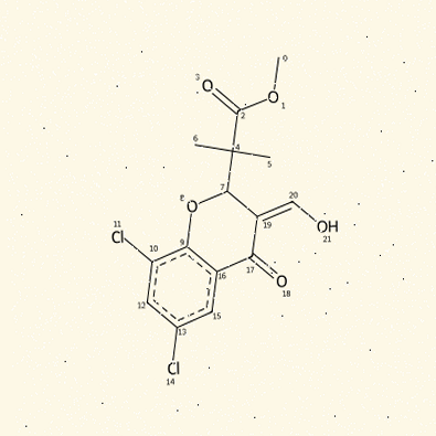 COC(=O)C(C)(C)C1Oc2c(Cl)cc(Cl)cc2C(=O)C1=CO